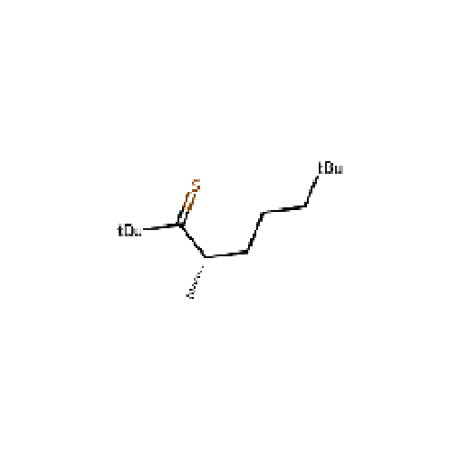 C[C@@H](CCCC(C)(C)C)C(=S)C(C)(C)C